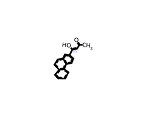 CC(=O)/C=C(\O)c1ccc2c(ccc3ccccc32)c1